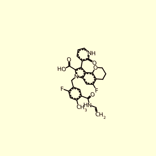 C=CNC(=O)c1cc(Cn2c(C(=O)O)c(-c3ccc[nH]c3=O)c3c4c(c(F)cc32)CCCO4)c(F)cc1C